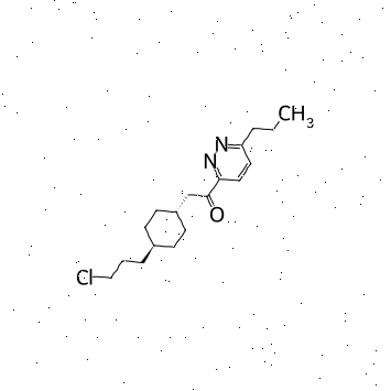 CCCc1ccc(C(=O)C[C@H]2CC[C@H](CCCCl)CC2)nn1